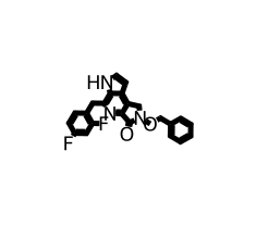 O=C1c2nc(Cc3ccc(F)cc3F)c3[nH]ccc3c2CN1OCc1ccccc1